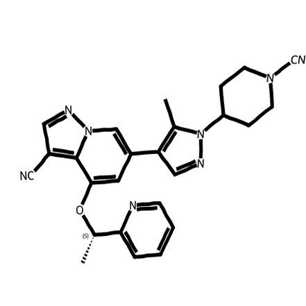 Cc1c(-c2cc(O[C@@H](C)c3ccccn3)c3c(C#N)cnn3c2)cnn1C1CCN(C#N)CC1